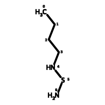 CCCCNSN